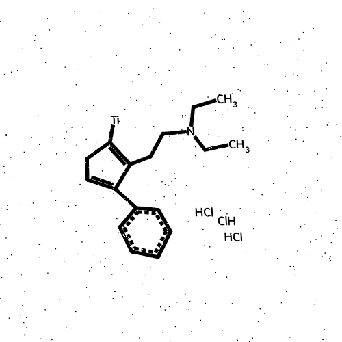 CCN(CC)CCC1=[C]([Ti])CC=C1c1ccccc1.Cl.Cl.Cl